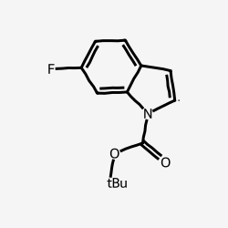 CC(C)(C)OC(=O)n1[c]cc2ccc(F)cc21